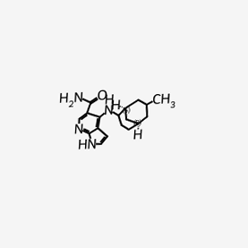 CC1C[C@H]2CCC(Nc3c(C(N)=O)cnc4[nH]ccc34)[C@@H](C1)C2